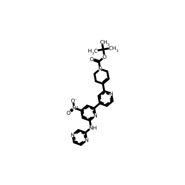 CC(C)(C)OC(=O)N1CC=C(c2cc(-c3cc([N+](=O)[O-])cc(Nc4cnccn4)n3)ccn2)CC1